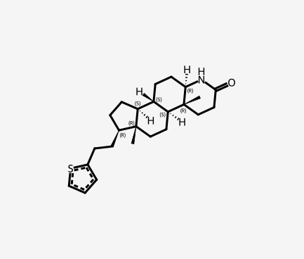 C[C@]12CCC(=O)N[C@@H]1CC[C@@H]1[C@@H]2CC[C@]2(C)[C@@H](CCc3cccs3)CC[C@@H]12